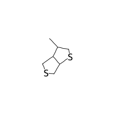 CC1CSC2CSCC12